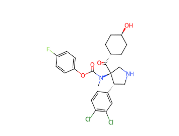 CN(C(=O)Oc1ccc(F)cc1)[C@@]1(C(=O)[C@H]2CC[C@H](O)CC2)CNC[C@@H]1c1ccc(Cl)c(Cl)c1